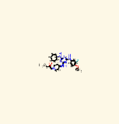 CCC(=O)CN1CCC(Nc2nc(Nc3ccc(OC)c(F)c3)nc(NC3CCCCCC3)n2)CC1